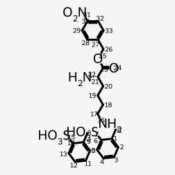 Cc1ccccc1S(=O)(=O)O.Cc1ccccc1S(=O)(=O)O.NCCCC[C@H](N)C(=O)OCc1ccc([N+](=O)[O-])cc1